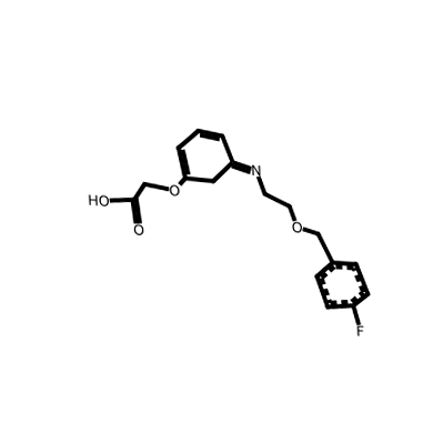 O=C(O)COC1=CC=CC(=NCCOCc2ccc(F)cc2)C1